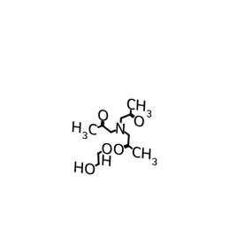 CC(=O)CN(CC(C)=O)CC(C)=O.OCCO